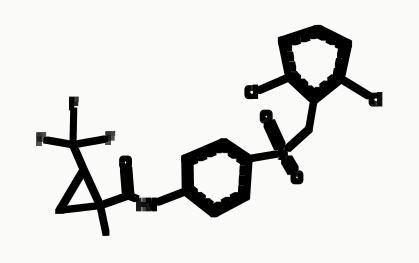 CC1(C(=O)Nc2ccc(S(=O)(=O)Cc3c(Cl)cccc3Cl)cc2)CC1C(F)(F)F